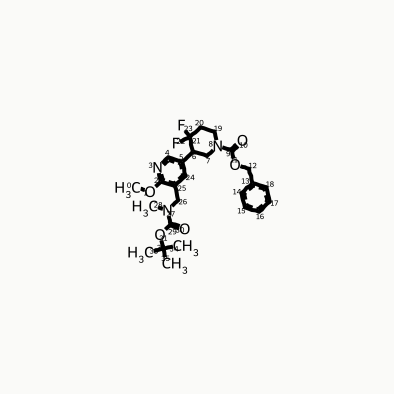 COc1ncc(C2CN(C(=O)OCc3ccccc3)CCC2(F)F)cc1CN(C)C(=O)OC(C)(C)C